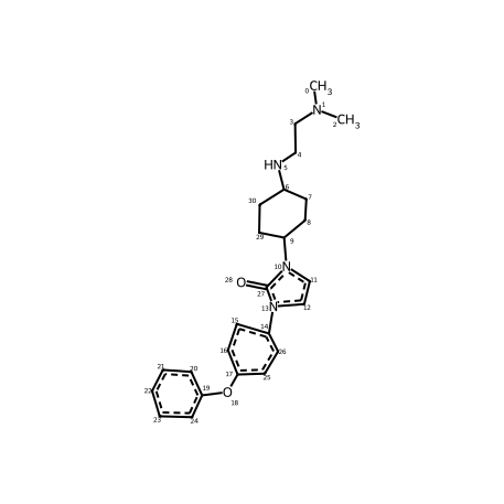 CN(C)CCNC1CCC(n2ccn(-c3ccc(Oc4ccccc4)cc3)c2=O)CC1